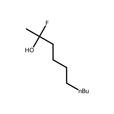 CCCCCCCCC(C)(O)F